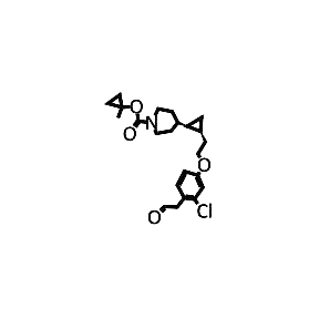 CC1(OC(=O)N2CCC([C@H]3C[C@H]3CCOc3ccc(CC=O)c(Cl)c3)CC2)CC1